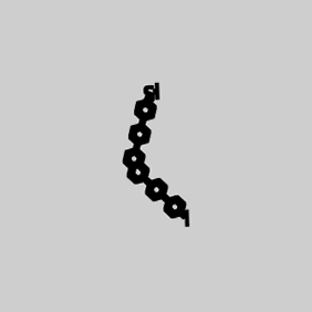 ISc1ccc(-c2ccc(-c3ccc4ccc(-c5ccc(-c6ccc(I)cc6)cc5)cc4c3)cc2)cc1